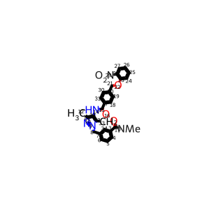 CNC(=O)c1cccc(Cn2nc(C)c(NC(=O)c3ccc(COc4ccccc4[N+](=O)[O-])cc3)c2C)c1